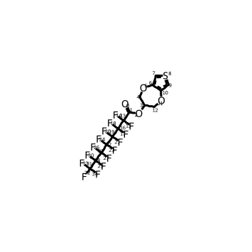 O=C(OC1COc2cscc2OC1)C(F)(F)C(F)(F)C(F)(F)C(F)(F)C(F)(F)C(F)(F)C(F)(F)F